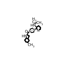 Cc1ccc2[nH]c(C(=O)N3CCN(c4ncccc4NC(C)C)CC3)cc2c1